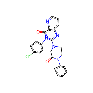 O=C1CN(c2nc3cccnc3c(=O)n2-c2ccc(Cl)cc2)CCN1c1ccccc1